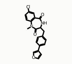 CN1C(=O)C(Cc2ccc(-c3ccoc3)cc2)NC(=O)c2cc(Cl)ccc21